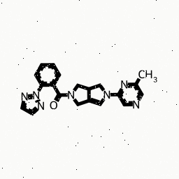 Cc1cncc(N2C=C3CN(C(=O)c4ccccc4-n4nccn4)CC3C2)n1